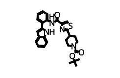 CC(C)(C)OC(=O)N1CCC(c2nc(C(=O)Nc3ccccc3-c3cc4ccccc4[nH]3)cs2)CC1